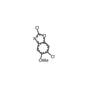 COc1cc2nc(Cl)oc2cc1Cl